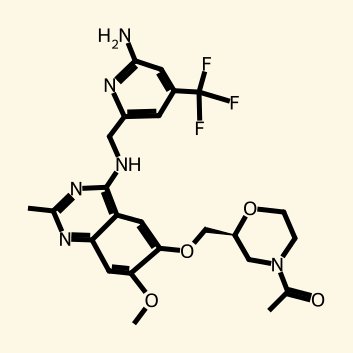 COc1cc2nc(C)nc(NCc3cc(C(F)(F)F)cc(N)n3)c2cc1OC[C@@H]1CN(C(C)=O)CCO1